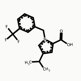 CC(C)c1cc(C(=O)O)n(Cc2cccc(C(F)(F)F)c2)c1